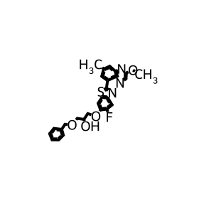 COc1cnc2c(-c3nc4cc(F)c(OCC(O)COCc5ccccc5)cc4s3)cc(C)cc2n1